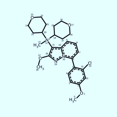 COc1ccc(-c2cccc3c([N+](C)(C4CCOCC4)C4CCOCC4)c(OC)nn23)c(Cl)c1